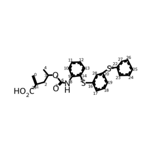 C=C(CC(C)OC(=O)Nc1ccccc1Sc1cccc(Sc2ccccc2)c1)C(=O)O